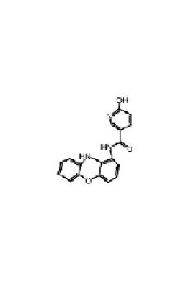 O=C(Nc1cccc2c1Nc1ccccc1O2)c1ccc(O)nc1